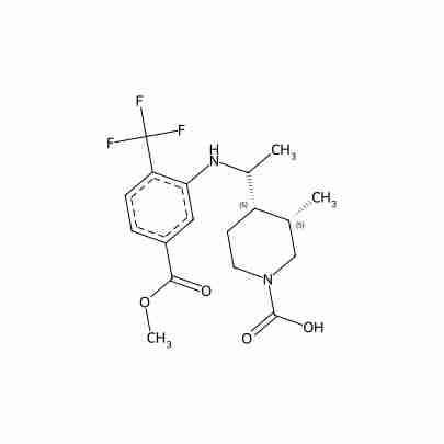 COC(=O)c1ccc(C(F)(F)F)c(NC(C)[C@H]2CCN(C(=O)O)C[C@H]2C)c1